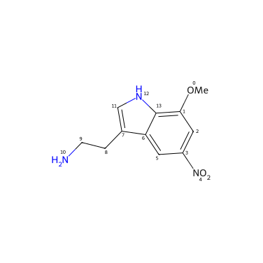 COc1cc([N+](=O)[O-])cc2c(CCN)c[nH]c12